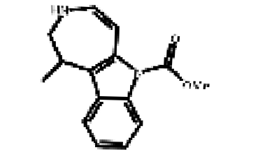 COC(=O)n1c2c(c3ccccc31)C(C)CNC=C2